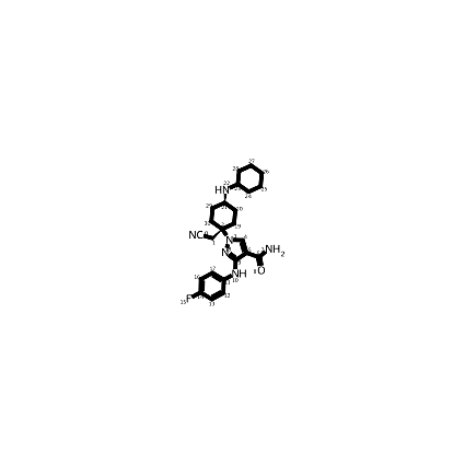 N#CC[C@]1(n2cc(C(N)=O)c(Nc3ccc(F)cc3)n2)CC[C@H](NC2CCCCC2)CC1